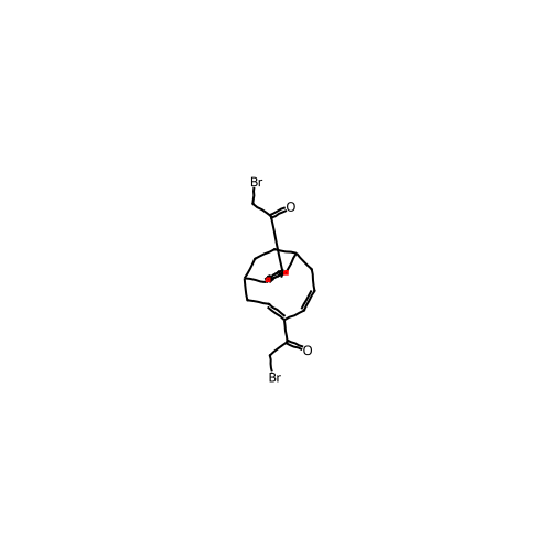 O=C(CBr)C1=C\CC2CCC(C/C=C\1)c1cc(C(=O)CBr)ccc12